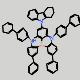 Cc1cc(-n2c3c(c4ccccc42)CCCC3)cc2c1B(c1cc(-c3ccccc3)ccc1Nc1ccc(C3=CCCC=C3)cc1)c1cc(-c3ccccc3)ccc1N2c1ccc(-c2ccccc2)cc1